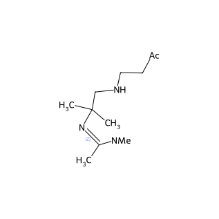 CN/C(C)=N\C(C)(C)CNCCC(C)=O